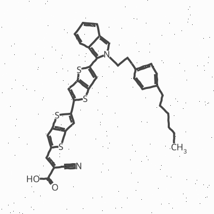 CCCCCCc1ccc(CCn2cc3ccccc3c2-c2cc3sc(-c4cc5sc(/C=C(\C#N)C(=O)O)cc5s4)cc3s2)cc1